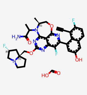 C#Cc1c(F)ccc2cc(O)cc(-c3nc4c5c(nc(OC[C@@]67CCCN6C[C@H](F)C7)nc5c3F)N(C(C)C(N)=O)[C@@H](C)CO4)c12.O=CO